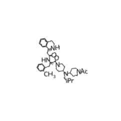 CC(=O)N1CCC(N(CC(C)C)C2CCN(C(=O)[C@@H](Cc3ccccc3C)NC(=O)C[C@@H]3NCCc4ccccc43)CC2)CC1